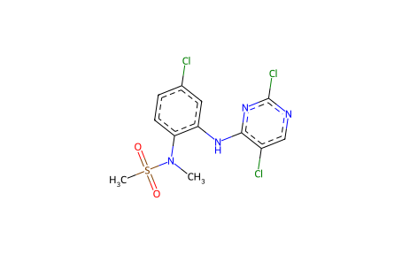 CN(c1ccc(Cl)cc1Nc1nc(Cl)ncc1Cl)S(C)(=O)=O